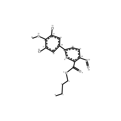 CCCCOC(=O)c1nc(-c2cc(Cl)c(OC)c(Cl)c2)ccc1N=O